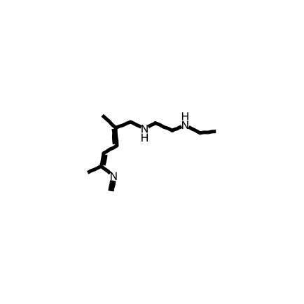 C=N/C(C)=C\C=C(/C)CNCCNCC